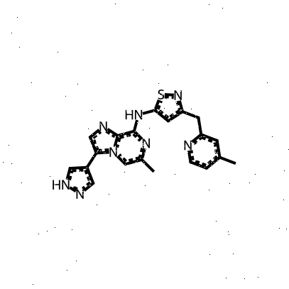 Cc1ccnc(Cc2cc(Nc3nc(C)cn4c(-c5cn[nH]c5)cnc34)sn2)c1